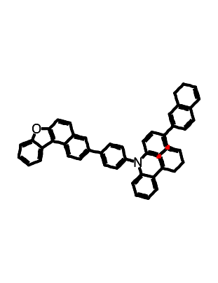 C1=CCCC(c2ccccc2N(c2ccc(-c3ccc4c(c3)CCC=C4)cc2)c2ccc(-c3ccc4c(ccc5oc6ccccc6c54)c3)cc2)=C1